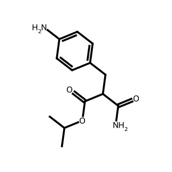 CC(C)OC(=O)C(Cc1ccc(N)cc1)C(N)=O